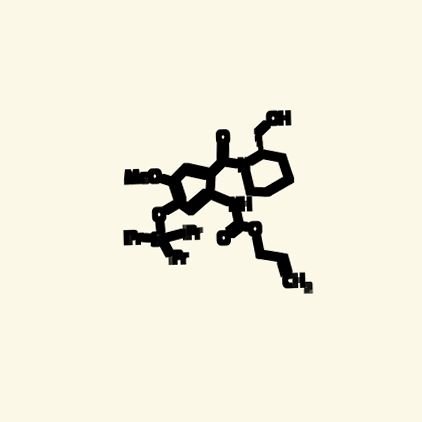 C=CCOC(=O)Nc1cc(O[Si](C(C)C)(C(C)C)C(C)C)c(OC)cc1C(=O)N1CCCC[C@H]1CO